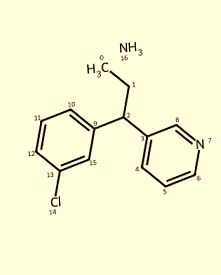 CCC(c1cccnc1)c1cccc(Cl)c1.N